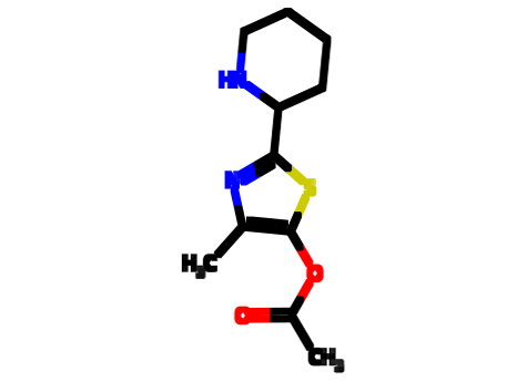 CC(=O)Oc1sc(C2CCCCN2)nc1C